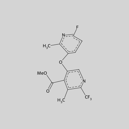 COC(=O)c1c(Oc2ccc(F)nc2C)cnc(C(F)(F)F)c1C